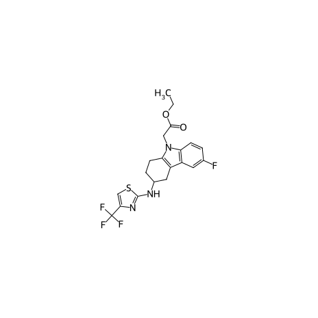 CCOC(=O)Cn1c2c(c3cc(F)ccc31)CC(Nc1nc(C(F)(F)F)cs1)CC2